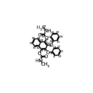 CNC(=O)Oc1c(Oc2ccccc2)c(Oc2ccccc2)c(OC(=O)NC)c2ccccc12